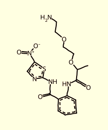 CC(OCCOCCN)C(=O)Nc1ccccc1C(=O)Nc1ncc([N+](=O)[O-])s1